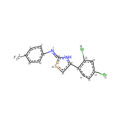 FC(F)(F)c1ccc(N=c2[nH]c(-c3ccc(Br)cc3Br)cs2)cc1